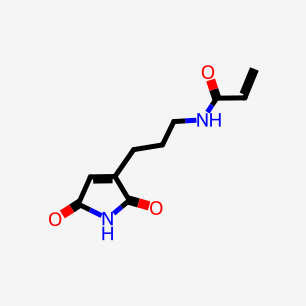 C=CC(=O)NCCCC1=CC(=O)NC1=O